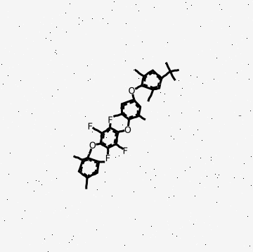 Cc1cc(C)c(Oc2c(F)c(F)c(Oc3c(C)cc(Oc4c(C)cc(C(C)(C)C)cc4C)cc3C)c(F)c2F)c(C)c1